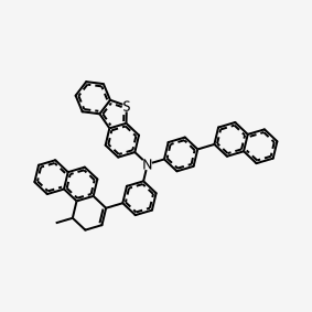 CC1CC=C(c2cccc(N(c3ccc(-c4ccc5ccccc5c4)cc3)c3ccc4c(c3)sc3ccccc34)c2)c2ccc3ccccc3c21